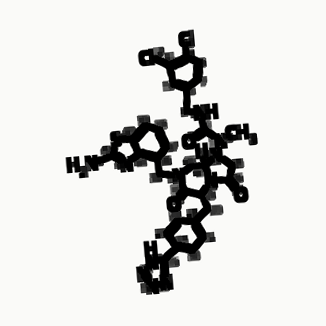 CN(C(=O)NCc1ccc(Cl)c(Cl)c1)N1CC(=O)N2[C@@H](Cc3ccc(-c4nnn[nH]4)cc3)C(=O)N(Cc3cccc4sc(N)nc34)C[C@@H]21